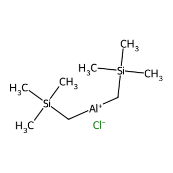 C[Si](C)(C)[CH2][Al+][CH2][Si](C)(C)C.[Cl-]